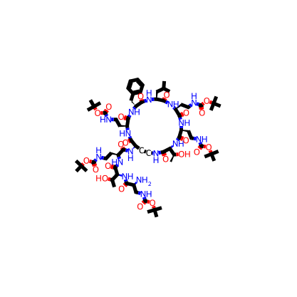 CC(C)C[C@@H]1NC(=O)[C@@H](Cc2ccccc2)NC(=O)[C@H](CCNC(=O)OC(C)(C)C)NC(=O)[C@@H](NC(=O)[C@H](CCNC(=O)OC(C)(C)C)NC(=O)[C@@H](NC(=O)[C@@H](N)CNC(=O)OC(C)(C)C)C(C)O)CCNC(=O)[C@H]([C@H](C)O)NC(=O)[C@H](CCNC(=O)OC(C)(C)C)NC(=O)[C@H](CCNC(=O)OC(C)(C)C)NC1=O